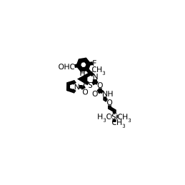 C[C@]1(c2cc(C=O)ccc2F)N=C(OC(=O)NCOCC[Si](C)(C)C)S[C@@]2(C(=O)N3CCCC3)C[C@H]21